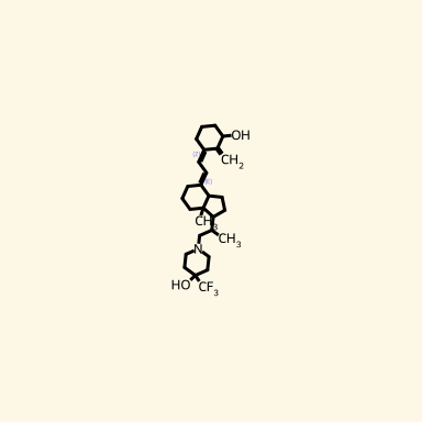 C=C1/C(=C\C=C2/CCCC3(C)C2CCC3C(C)CN2CCC(O)(C(F)(F)F)CC2)CCCC1O